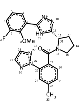 COc1c(F)cccc1-c1nnc([C@@H]2CCCN2C(=O)c2ccc(C)cc2-n2nccn2)[nH]1